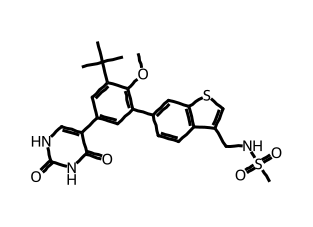 COc1c(-c2ccc3c(CNS(C)(=O)=O)csc3c2)cc(-c2c[nH]c(=O)[nH]c2=O)cc1C(C)(C)C